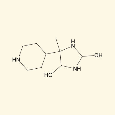 CC1(C2CCNCC2)NC(O)NC1O